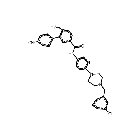 [C-]#[N+]c1ccc(-c2cc(C(=O)Nc3ccc(N4CCN(Cc5cccc(Cl)c5)CC4)nc3)ccc2C)cc1